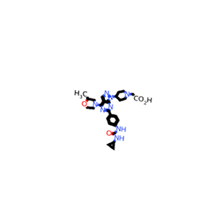 CC1CN(c2nc(-c3ccc(NC(=O)NC4CC4)cc3)nc3c2cnn3C2CCN(CC(=O)O)CC2)CCO1